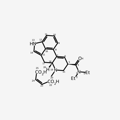 CCN(CC)C(=O)[C@@H]1C=C2c3cccc4[nH]cc(c34)C[C@H]2N(C)C1.O=C(O)/C=C\C(=O)O